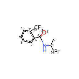 CC(C)C(C)NC(=O)c1ccccc1C(F)(F)F